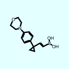 OB(O)/C=C/C1(c2ccc(N3CCOCC3)cc2)CC1